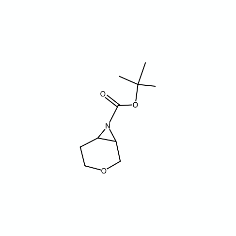 CC(C)(C)OC(=O)N1C2CCOCC21